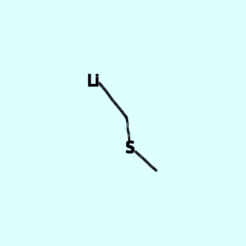 [Li][CH2]SC